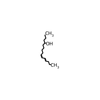 CCCC=C/C=C\CCCCC(O)CCCC